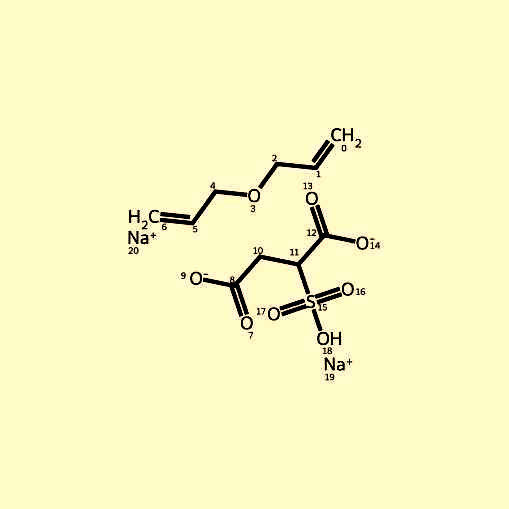 C=CCOCC=C.O=C([O-])CC(C(=O)[O-])S(=O)(=O)O.[Na+].[Na+]